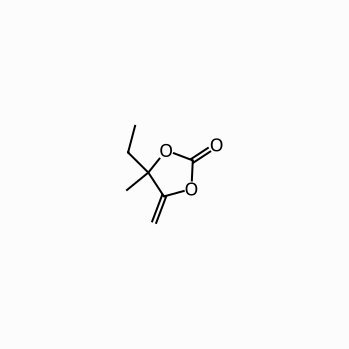 C=C1OC(=O)OC1(C)CC